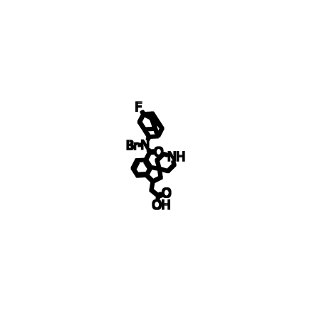 O=C(O)CC1CC2(CCNCC2)c2c(C(=O)N(Br)C3C4CC5CC3CC(F)(C5)C4)cccc21